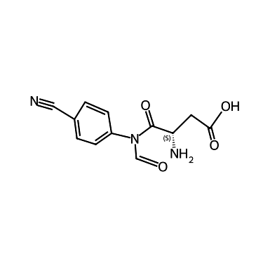 N#Cc1ccc(N(C=O)C(=O)[C@@H](N)CC(=O)O)cc1